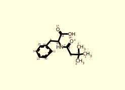 CC(C)(C)CC(=O)NC(Cc1ccccc1)C(=O)O